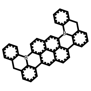 c1ccc2c(c1)Cc1cccc3c1B2c1ccc2cc4c5c(ccc6cc-3c1c2c65)-c1cccc2c1B4c1ccccc1C2